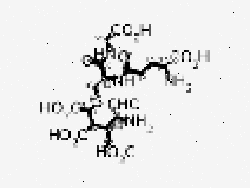 N[C@H](C=O)C(CC(=O)O)C(C(=O)O)C(SC[C@H](NC(=O)CC[C@H](N)C(=O)O)C(=O)NCC(=O)O)C(=O)O